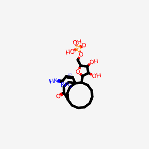 N=C(N)/C=C\C12CCC(=O)C(CCCCCCCC1C1OC(COP(=O)(O)O)C(O)C1O)CC2